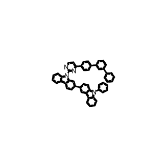 c1ccc(-c2cccc(-c3ccc(-c4ccnc(-n5c6ccccc6c6ccc(-c7ccc8c(c7)c7ccccc7n8-c7ccccc7)cc65)n4)cc3)c2)cc1